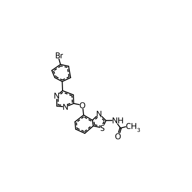 CC(=O)Nc1nc2c(Oc3cc(-c4ccc(Br)cc4)ncn3)cccc2s1